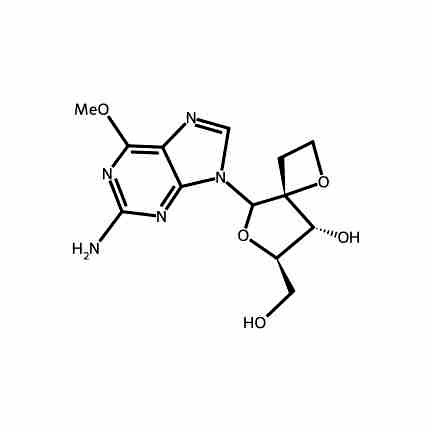 COc1nc(N)nc2c1ncn2C1O[C@H](CO)[C@@H](O)[C@]12CCO2